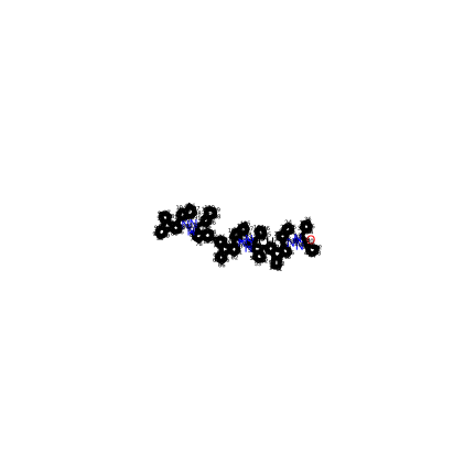 CC1(c2ccc3c(c2)c2ccccc2c2ccc4c(c5ccc6ccccc6c5n4-c4nc(-c5ccccc5)c5oc6ccccc6c5n4)c23)c2ccccc2-c2nc(-n3c4ccc5c6ccccc6c6cc(-c7ccc8c(ccc9nc(-n%10c%11ccc%12c%13ccccc%13c%13ccccc%13c%12c%11c%11ccc%12ccccc%12c%11%10)nc(-c%10ccc%11ccccc%11c%10)c98)c7)ccc6c5c4c4ccc5ccccc5c43)nc(-c3ccccc3)c21